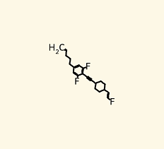 C=CCCCc1cc(F)c(C#CC2CCC(/C=C/F)CC2)c(F)c1